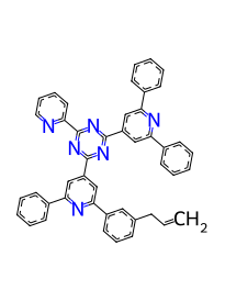 C=CCc1cccc(-c2cc(-c3nc(-c4cc(-c5ccccc5)nc(-c5ccccc5)c4)nc(-c4ccccn4)n3)cc(-c3ccccc3)n2)c1